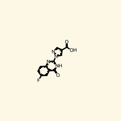 O=C(O)c1cnn(-c2nc3ccc(F)cc3c(=O)[nH]2)c1